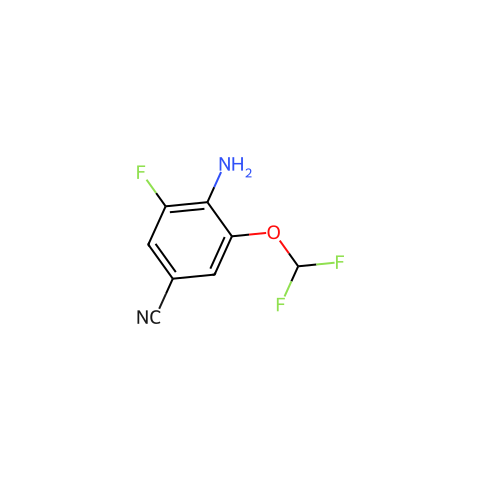 N#Cc1cc(F)c(N)c(OC(F)F)c1